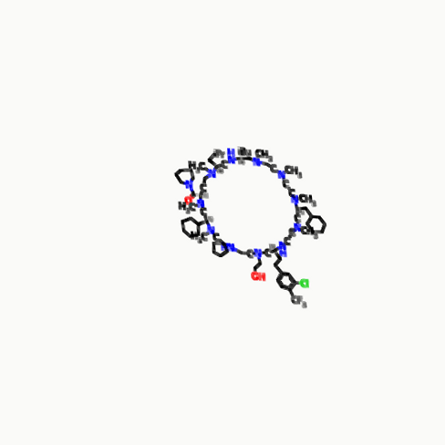 CC[C@H](C)[C@H]1CN(C)CCN(C)CCN(C)[C@@H](CC2CCCCC2)CN(C)CCN[C@@H](CCc2ccc(C(F)(F)F)c(Cl)c2)CN(CCO)CCNC2(CCCC2)CN(C)[C@@H](C2CCCCC2)CN(C)[C@H](C(=O)N2CCCCC2)CCN(C)[C@@H](CC(C)C)CN1